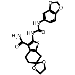 NC(=O)c1c(NC(=O)Nc2ccc3c(c2)OCO3)sc2c1CCC1(C2)OCCO1